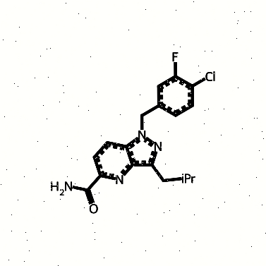 CC(C)Cc1nn(Cc2ccc(Cl)c(F)c2)c2ccc(C(N)=O)nc12